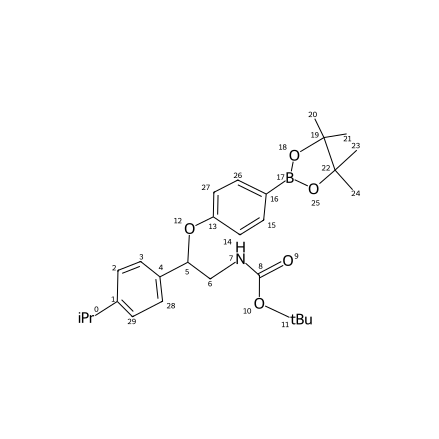 CC(C)c1ccc(C(CNC(=O)OC(C)(C)C)Oc2ccc(B3OC(C)(C)C(C)(C)O3)cc2)cc1